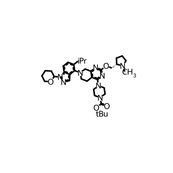 CC(C)c1ccc2c(cnn2C2CCCCO2)c1N1CCc2c(nc(OC[C@@H]3CCCN3C)nc2N2CCN(C(=O)OC(C)(C)C)CC2)C1